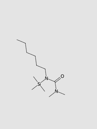 CCCCCCN(C(=O)N(C)C)[Si](C)(C)C